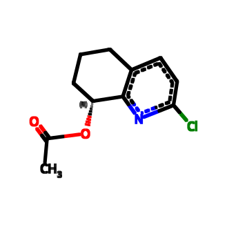 CC(=O)O[C@@H]1CCCc2ccc(Cl)nc21